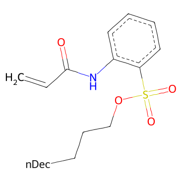 C=CC(=O)Nc1ccccc1S(=O)(=O)OCCCCCCCCCCCCC